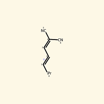 CC(C)/C=C/C=C(C#N)C#N